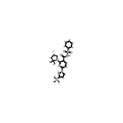 C[C@@H]1CN(c2nc(-n3ccc([Si](C)(C)C)n3)ccc2C(=O)NS(=O)(=O)c2ccccc2)C(C)(C)C1